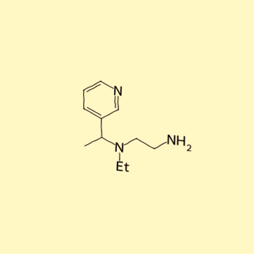 CCN(CCN)C(C)c1cccnc1